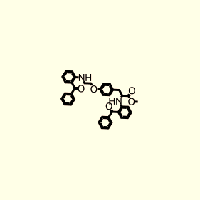 COC(=O)C(Cc1ccc(OCCNc2ccccc2C(=O)c2ccccc2)cc1)Nc1ccccc1C(=O)c1ccccc1